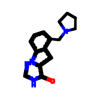 O=c1[nH]cnn2c1cc1c(CN3CCCC3)cccc12